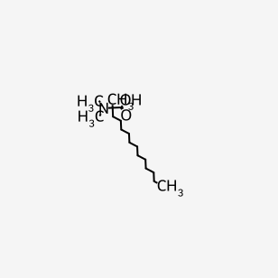 CCCCCCCCCCCCC(C)(C(=O)O)N(C)C